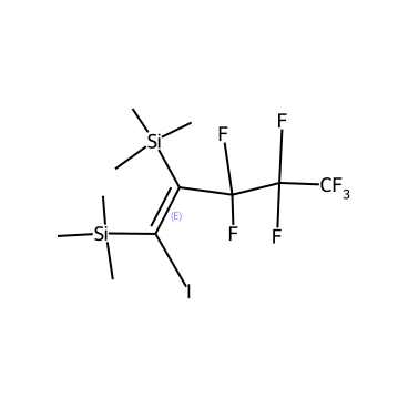 C[Si](C)(C)/C(I)=C(/C(F)(F)C(F)(F)C(F)(F)F)[Si](C)(C)C